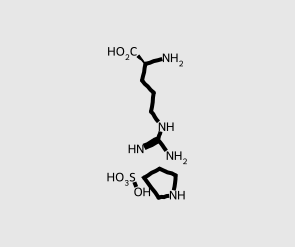 C1CCNC1.N=C(N)NCCC[C@H](N)C(=O)O.O=S(=O)(O)O